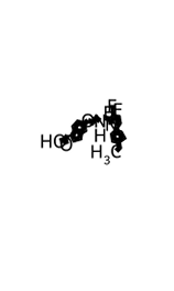 CCc1ccc(-c2ccc(C(F)(F)F)c(CNCCOc3ccc4c(c3)CC[C@H]4CC(=O)O)n2)cc1